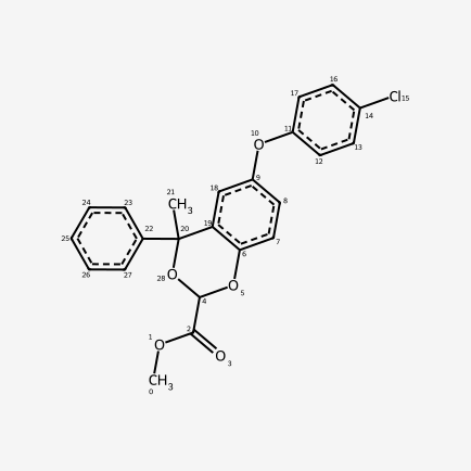 COC(=O)C1Oc2ccc(Oc3ccc(Cl)cc3)cc2C(C)(c2ccccc2)O1